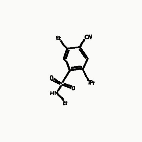 CCNS(=O)(=O)c1cc(CC)c(C#N)cc1C(C)C